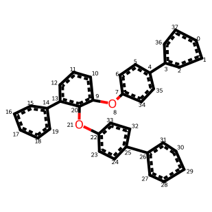 c1ccc(-c2ccc(Oc3cccc(-c4ccccc4)c3Oc3ccc(-c4ccccc4)cc3)cc2)cc1